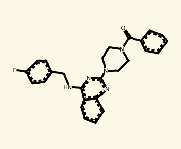 O=C(c1ccccc1)N1CCN(c2nc(NCc3ccc(F)cc3)c3ccccc3n2)CC1